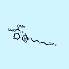 C1CCSC1.C1COCO1.COC(C)OC.COCCOCCOC